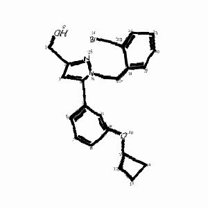 OCc1cc(-c2cccc(OC3CCC3)c2)n(Cc2ccccc2Br)n1